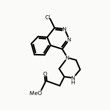 COC(=O)CC1CN(c2nnc(Cl)c3ccccc23)CCN1